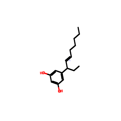 CCCCC/C=C/C(CC)c1cc(O)cc(O)c1